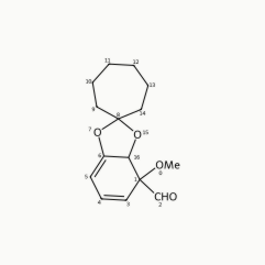 COC1(C=O)C=CC=C2OC3(CCCCCC3)OC21